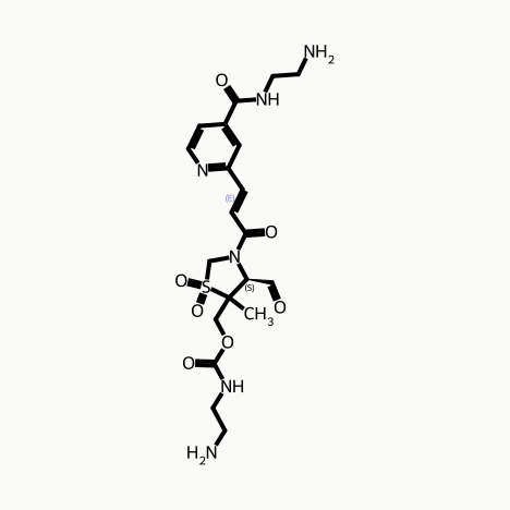 CC1(COC(=O)NCCN)[C@H](C=O)N(C(=O)/C=C/c2cc(C(=O)NCCN)ccn2)CS1(=O)=O